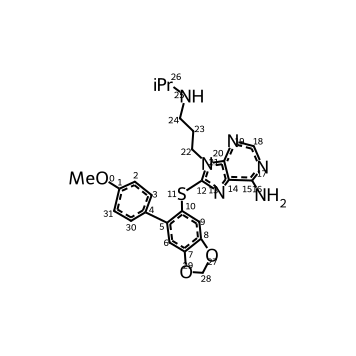 COc1ccc(-c2cc3c(cc2Sc2nc4c(N)ncnc4n2CCCNC(C)C)OCO3)cc1